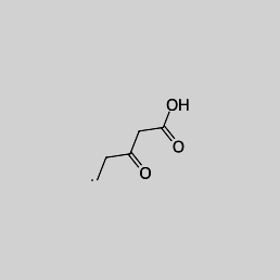 [CH2]CC(=O)CC(=O)O